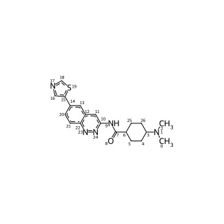 CN(C)C1CCC(C(=O)Nc2cc3cc(-c4cncs4)ccc3nn2)CC1